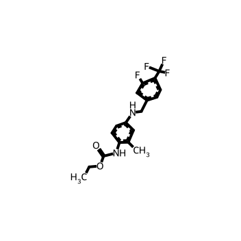 CCOC(=O)Nc1ccc(NCc2ccc(C(F)(F)F)c(F)c2)cc1C